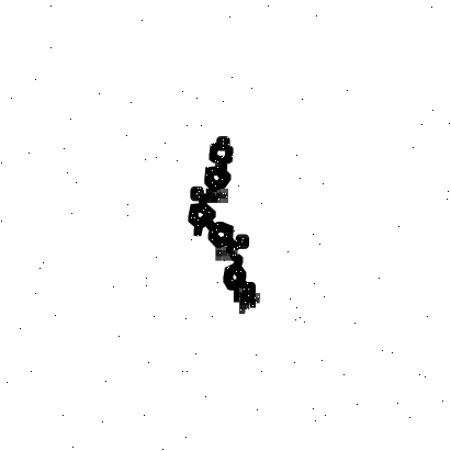 Cc1ccc(C(=O)Nc2ccc(N3CCOCC3)cc2)cc1-c1ccc(C(=O)NCc2cccc(OC(F)(F)F)c2)cc1